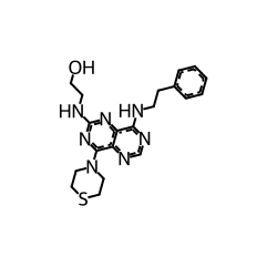 OCCNc1nc(N2CCSCC2)c2ncnc(NCCc3ccccc3)c2n1